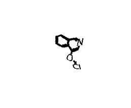 ClCOc1cncc2ccccc12